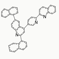 c1ccc2nc(-c3ccc(-c4cc(-c5cccc6ccccc56)nc5ccc(-c6cccc7ccccc67)cc45)cn3)ccc2c1